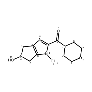 Cn1c(C(=O)N2CCOCC2)nc2c1CN(O)C2